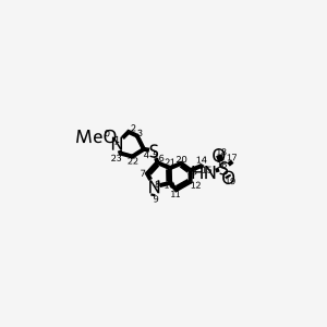 CON1CCC(Sc2cn(C)c3ccc(CNS(C)(=O)=O)cc23)CC1